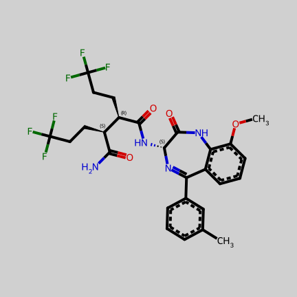 COc1cccc2c1NC(=O)[C@@H](NC(=O)[C@H](CCC(F)(F)F)[C@H](CCC(F)(F)F)C(N)=O)N=C2c1cccc(C)c1